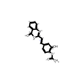 CC(=O)Oc1ccc(/C=C/c2nc3ccccc3c(=O)o2)cc1O